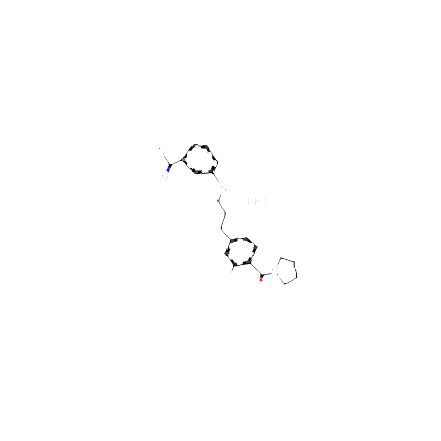 Cc1cc(CCCNc2cccc(C(=N)N)c2)ccc1C(=O)N1CCCC1.Cl